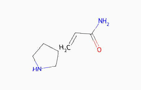 C1CCNC1.C=CC(N)=O